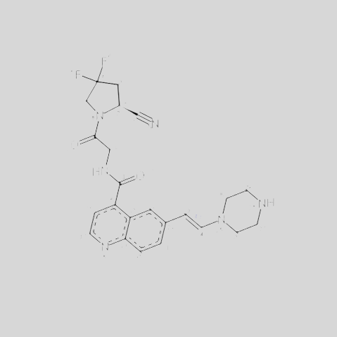 N#C[C@@H]1CC(F)(F)CN1C(=O)CNC(=O)c1ccnc2ccc(/C=C/N3CCNCC3)cc12